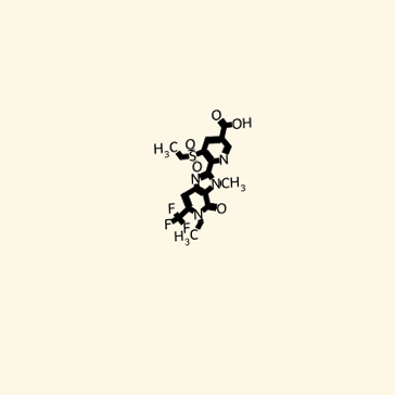 CCn1c(C(F)(F)F)cc2nc(-c3ncc(C(=O)O)cc3S(=O)(=O)CC)n(C)c2c1=O